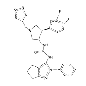 O=C(Nc1c2c(nn1-c1ccccc1)CCC2)NC1CN(Cc2csnn2)C[C@H]1c1ccc(F)c(F)c1